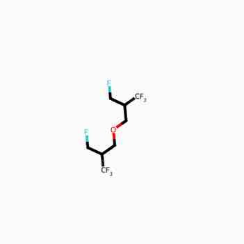 FCC(COCC(CF)C(F)(F)F)C(F)(F)F